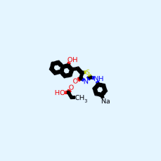 CCC(=O)O.O=C1N=C(Nc2cc[c]([Na])cc2)SC1=Cc1ccc2ccccc2c1O